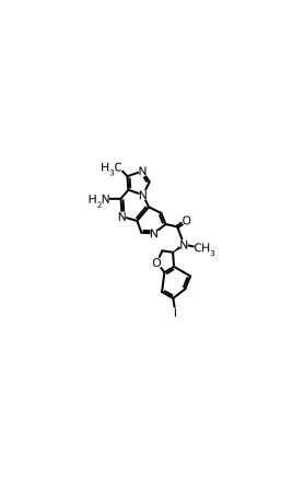 Cc1ncn2c1c(N)nc1cnc(C(=O)N(C)[C@@H]3COc4cc(I)ccc43)cc12